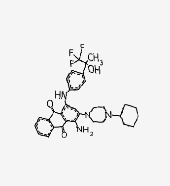 CC(O)(c1ccc(Nc2cc(N3CCN(C4CCCCC4)CC3)c(N)c3c2C(=O)c2ccccc2C3=O)cc1)C(F)(F)F